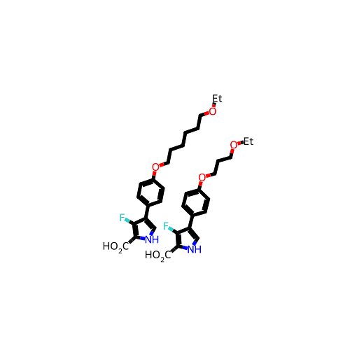 CCOCCCCCCOc1ccc(-c2c[nH]c(C(=O)O)c2F)cc1.CCOCCCOc1ccc(-c2c[nH]c(C(=O)O)c2F)cc1